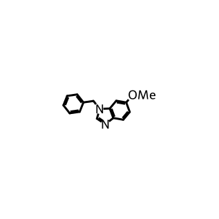 COc1ccc2ncn(Cc3ccccc3)c2c1